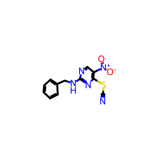 N#CSc1nc(NCc2ccccc2)ncc1[N+](=O)[O-]